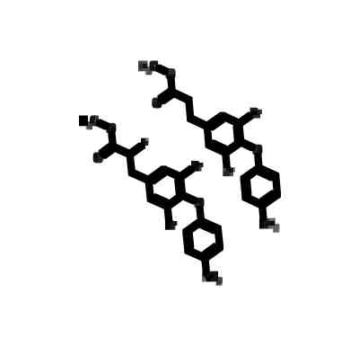 COC(=O)C(F)Cc1cc(Br)c(Oc2ccc(N)cc2)c(Br)c1.COC(=O)CCc1cc(Br)c(Oc2ccc(N)cc2)c(Br)c1